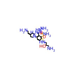 NCC=C1CCN(c2ccc(SNCC(O)CN)c(S(N)(=O)=O)c2/C(N)=N/NN)CC1